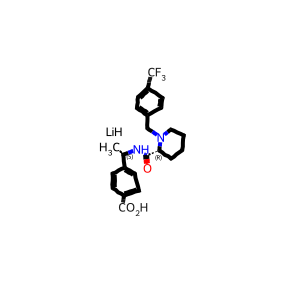 C[C@H](NC(=O)[C@H]1CCCCN1Cc1ccc(C(F)(F)F)cc1)c1ccc(C(=O)O)cc1.[LiH]